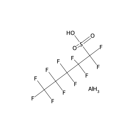 O=S(=O)(O)C(F)(F)C(F)(F)C(F)(F)C(F)(F)C(F)(F)F.[AlH3]